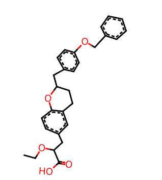 CCOC(Cc1ccc2c(c1)CCC(Cc1ccc(OCc3ccccc3)cc1)O2)C(=O)O